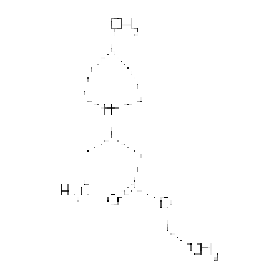 CCOC(=O)CC(CC)N1CCC(C)CC1